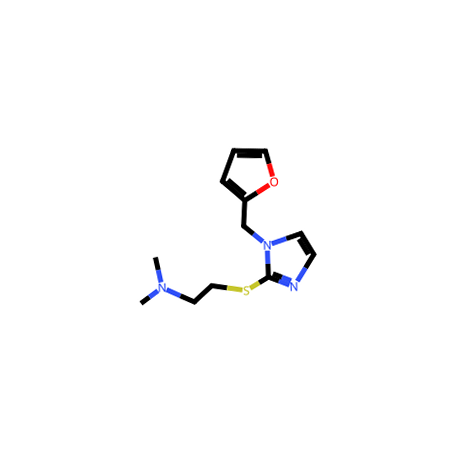 CN(C)CCSc1nccn1Cc1ccco1